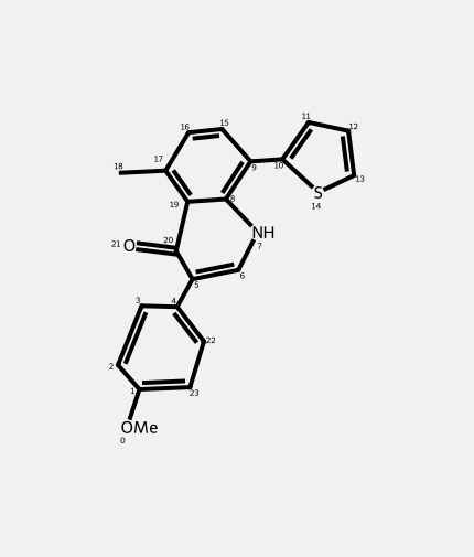 COc1ccc(-c2c[nH]c3c(-c4cccs4)ccc(C)c3c2=O)cc1